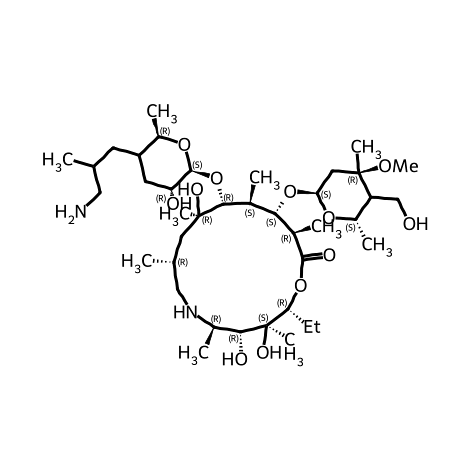 CC[C@H]1OC(=O)[C@H](C)[C@@H](O[C@H]2C[C@@](C)(OC)C(CO)[C@H](C)O2)[C@H](C)[C@@H](O[C@@H]2O[C@H](C)C(CC(C)CN)C[C@H]2O)[C@](C)(O)C[C@@H](C)CN[C@H](C)[C@@H](O)[C@]1(C)O